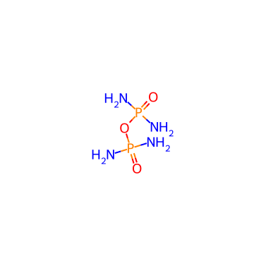 NP(N)(=O)OP(N)(N)=O